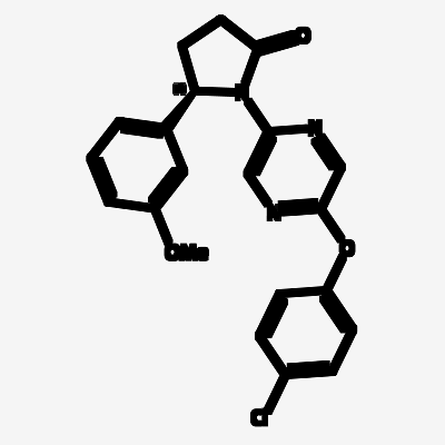 COc1cccc([C@H]2CCC(=O)N2c2cnc(Oc3ccc(Cl)cc3)cn2)c1